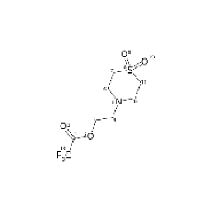 O=C(OCCN1CCS(=O)(=O)CC1)C(F)(F)F